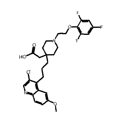 COc1ccc2ncc(Cl)c(CCCC3(CC(=O)O)CCN(CCOc4c(F)cc(F)cc4F)CC3)c2c1